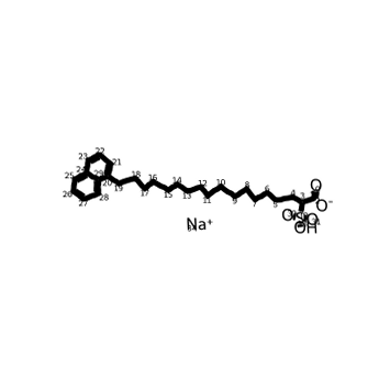 O=C([O-])C(CCCCCCCCCCCCCCCCc1cccc2ccccc12)S(=O)(=O)O.[Na+]